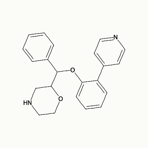 c1ccc(C(Oc2ccccc2-c2ccncc2)C2CNCCO2)cc1